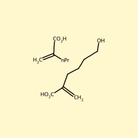 C=C(CCC)C(=O)O.C=C(CCCCO)C(=O)O